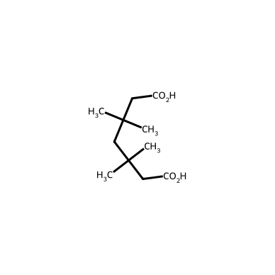 CC(C)(CC(=O)O)CC(C)(C)CC(=O)O